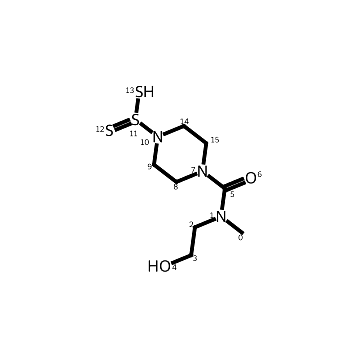 CN(CCO)C(=O)N1CCN(S(=S)S)CC1